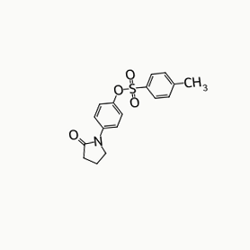 Cc1ccc(S(=O)(=O)Oc2ccc(N3CCCC3=O)cc2)cc1